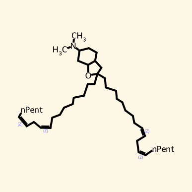 CCCCC/C=C\C/C=C\CCCCCCCCC1(CCCCCCCC/C=C\C/C=C\CCCCC)CC2CCC(N(C)C)CC2O1